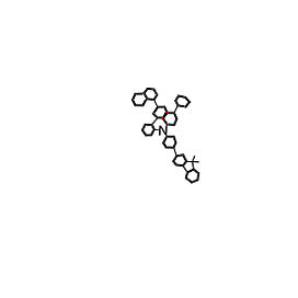 CC1(C)c2ccccc2-c2ccc(-c3ccc(N(c4ccc(-c5ccccc5)cc4)c4ccccc4-c4cccc(-c5cccc6ccccc56)c4)cc3)cc21